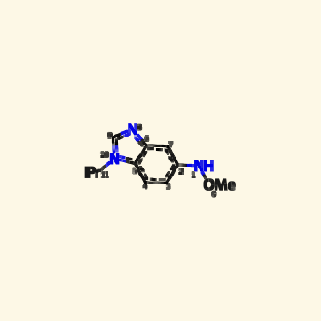 CONc1ccc2c(c1)ncn2C(C)C